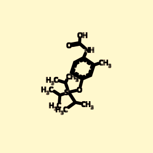 Cc1cc(O[Si](C(C)C)(C(C)C)C(C)C)ccc1NC(=O)O